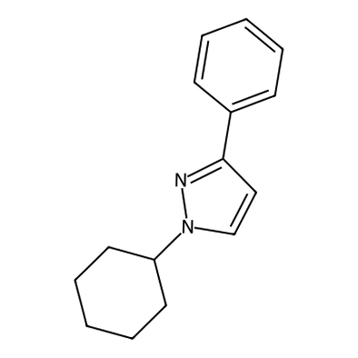 c1ccc(-c2ccn(C3CCCCC3)n2)cc1